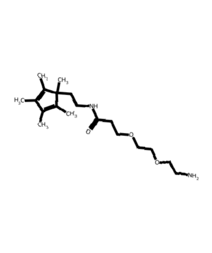 CC1=C(C)C(C)(CCNC(=O)CCOCCOCCN)C(C)=C1C